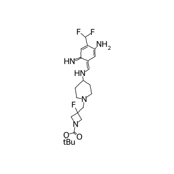 CC(C)(C)OC(=O)N1CC(F)(CN2CCC(N/C=C3/C=C(N)C(C(F)F)=CC3=N)CC2)C1